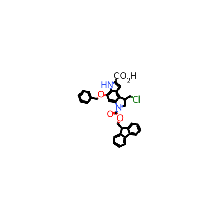 O=C(O)c1cc2c3c(cc(OCc4ccccc4)c2[nH]1)N(C(=O)OCC1c2ccccc2-c2ccccc21)CC3CCl